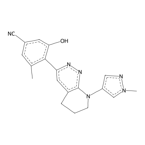 Cc1cc(C#N)cc(O)c1-c1cc2c(nn1)N(c1cnn(C)c1)CCC2